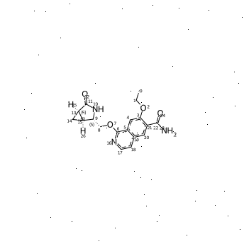 CCOc1cc2c(OC[C@H]3NC(=O)[C@@H]4C[C@H]34)nccc2cc1C(N)=O